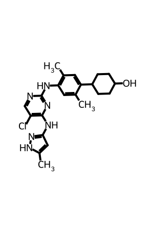 Cc1cc(Nc2nc(Nc3cc(C)c(C4CCC(O)CC4)cc3C)ncc2Cl)n[nH]1